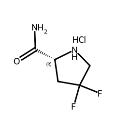 Cl.NC(=O)[C@H]1CC(F)(F)CN1